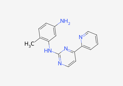 Cc1ccc(N)cc1Nc1nccc(-c2ccccn2)n1